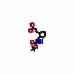 COC(=O)/C=C/c1ccccc1CNC(=O)OC(C)(C)C